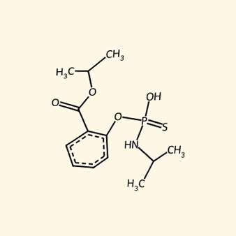 CC(C)NP(O)(=S)Oc1ccccc1C(=O)OC(C)C